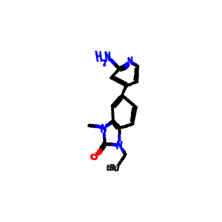 Cn1c(=O)n(CC(C)(C)C)c2ccc(-c3ccnc(N)c3)cc21